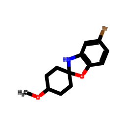 COC1CCC2(CC1)Nc1cc(Br)ccc1O2